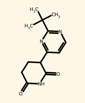 CC(C)(C)c1nccc(C2CCC(=O)NC2=O)n1